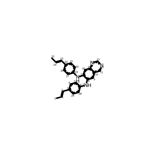 C/C=C/c1ccc(Nc2cc3cncnc3cc2Nc2ccc(/C=C/C)cc2)cc1